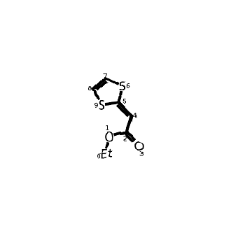 CCOC(=O)C=C1SC=CS1